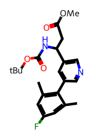 COC(=O)CC(NC(=O)OC(C)(C)C)c1cncc(-c2c(C)cc(F)cc2C)c1